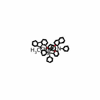 CC1(C)c2ccccc2-c2cccc(N(c3ccccc3)c3ccccc3[Si](c3ccccc3)(c3ccccc3)c3cccc(N(c4ccccc4)c4cccc5ccccc45)c3)c21